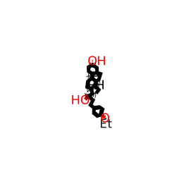 CCOc1ccc(CC[C@@](C)(O)[C@H]2CC[C@H]3[C@@H]4CC=C5C[C@@H](O)CC[C@]5(C)[C@H]4CC[C@@]32C)cc1